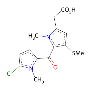 CSc1cc(CC(=O)O)n(C)c1C(=O)c1ccc(Cl)n1C